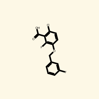 O=C(O)c1c(Cl)ccc(OCc2cccc(F)c2)c1F